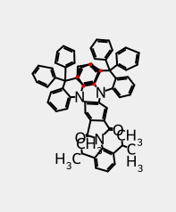 CC(C)c1cccc(C(C)C)c1N1C(=O)c2cc(N3c4ccccc4C(c4ccccc4)(c4ccccc4)c4ccccc43)c(N3c4ccccc4C(c4ccccc4)(c4ccccc4)c4ccccc43)cc2C1=O